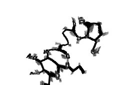 C=CCOC1OC(CF)C(OC(C)=O)C(OC(C)=O)C1NC(=O)CCCC(=O)ON1C(=O)CCC1O